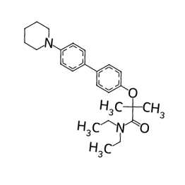 CCN(CC)C(=O)C(C)(C)Oc1ccc(-c2ccc(N3CCCCC3)cc2)cc1